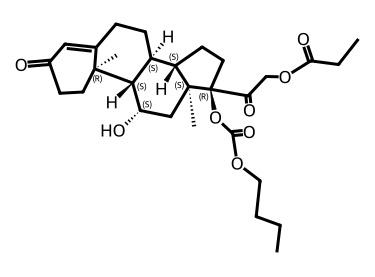 CCCCOC(=O)O[C@]1(C(=O)COC(=O)CC)CC[C@H]2[C@@H]3CCC4=CC(=O)CC[C@]4(C)[C@H]3[C@@H](O)C[C@@]21C